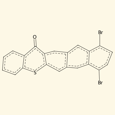 O=c1c2ccccc2sc2cc3cc4c(Br)ccc(Br)c4cc3cc12